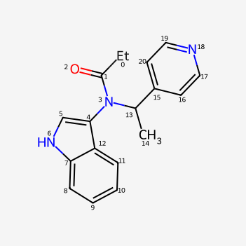 CCC(=O)N(c1c[nH]c2ccccc12)C(C)c1ccncc1